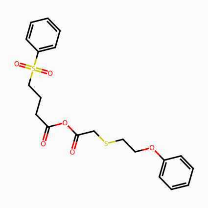 O=C(CCCS(=O)(=O)c1ccccc1)OC(=O)CSCCOc1ccccc1